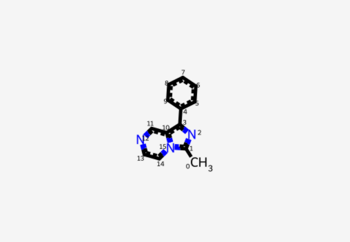 Cc1nc(-c2ccccc2)c2cnccn12